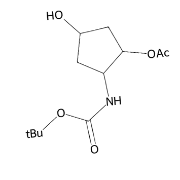 CC(=O)OC1CC(O)CC1NC(=O)OC(C)(C)C